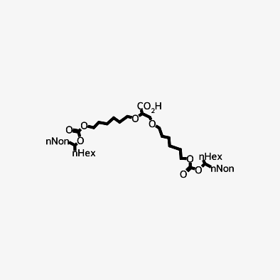 CCCCCCCCCC(CCCCCC)OC(=O)OCCCCCCOCC(OCCCCCCOC(=O)OC(CCCCCC)CCCCCCCCC)C(=O)O